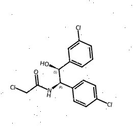 O=C(CCl)N[C@H](c1ccc(Cl)cc1)[C@@H](O)c1cccc(Cl)c1